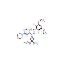 COc1cc(OC)c(F)c(-c2cc3cnc(N4CCOCC4)nc3c(N3CC(C)(OC)C3)n2)c1F